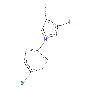 Brc1ccc(-n2cc(I)c(I)c2)cc1